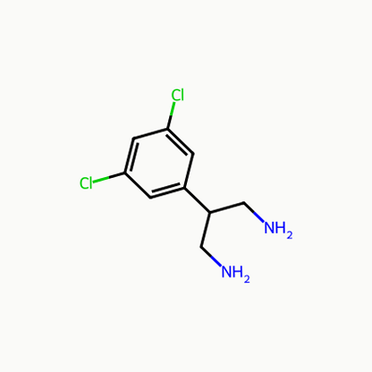 NCC(CN)c1cc(Cl)cc(Cl)c1